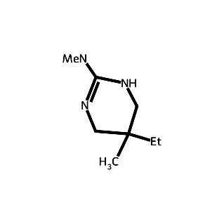 CCC1(C)CN=C(NC)NC1